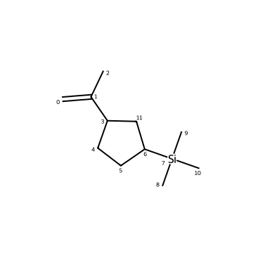 C=C(C)C1CCC([Si](C)(C)C)C1